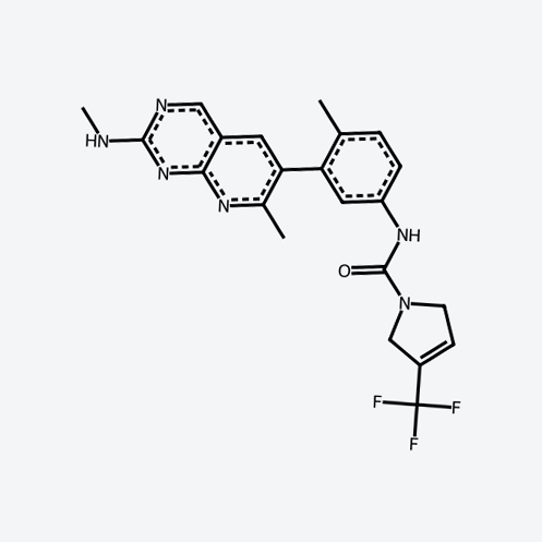 CNc1ncc2cc(-c3cc(NC(=O)N4CC=C(C(F)(F)F)C4)ccc3C)c(C)nc2n1